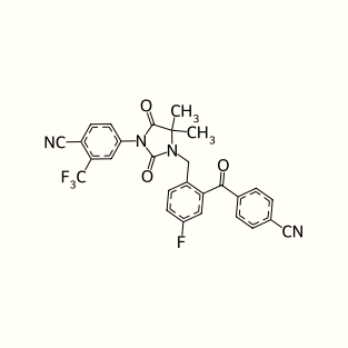 CC1(C)C(=O)N(c2ccc(C#N)c(C(F)(F)F)c2)C(=O)N1Cc1ccc(F)cc1C(=O)c1ccc(C#N)cc1